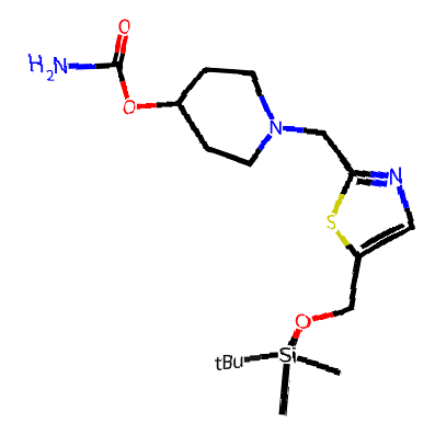 CC(C)(C)[Si](C)(C)OCc1cnc(CN2CCC(OC(N)=O)CC2)s1